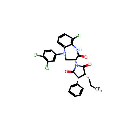 O=C1Nc2c(Cl)cccc2N(c2ccc(Cl)c(Cl)c2)C[C@@H]1N1C(=O)[C@H](CCC(F)(F)F)[C@H](c2ccccc2)C1=O